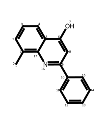 [CH]c1cccc2c(O)cc(-c3ccccc3)nc12